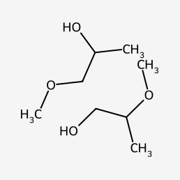 COC(C)CO.COCC(C)O